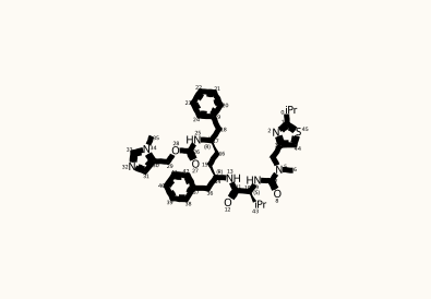 CC(C)c1nc(CN(C)C(=O)N[C@H](C(=O)N[C@H](CC[C@H](Cc2ccccc2)NC(=O)OCc2cncn2C)Cc2ccccc2)C(C)C)cs1